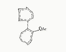 CC(=O)Oc1ccccc1-c1ccccc1